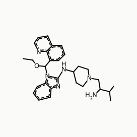 CCOC(c1cccc2cccnc12)n1c(NC2CCN(CC(N)C(C)C)CC2)nc2ccccc21